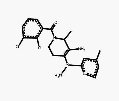 Cc1ccnc(N(N)C2=C(N)C(C)N(C(=O)c3cccc(Cl)c3Cl)CC2)c1